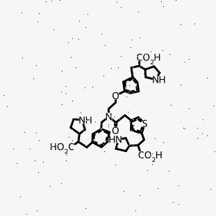 O=C(O)C(Cc1cccc(CN(CCOc2cccc(CC(C(=O)O)C3CCNC3)c2)C(=O)Cc2csc(CC(C(=O)O)C3CCNC3)c2)c1)C1CCNC1